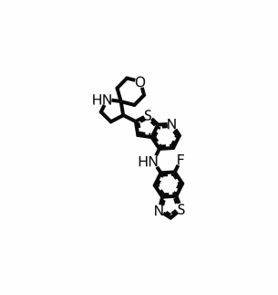 Fc1cc2scnc2cc1Nc1ccnc2sc(C3CCNC34CCOCC4)cc12